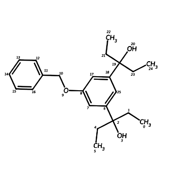 CCC(O)(CC)c1cc(OCc2ccccc2)cc(C(O)(CC)CC)c1